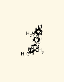 Cc1cc(C)n(CC(=O)N2CCN(c3ncc(Cl)cc3N)CC2)n1